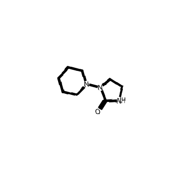 O=C1NCCN1N1CCCCC1